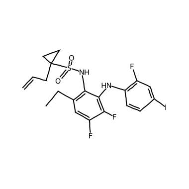 C=CCC1(S(=O)(=O)Nc2c(CC)cc(F)c(F)c2Nc2ccc(I)cc2F)CC1